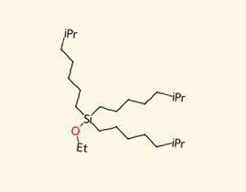 CCO[Si](CCCCCC(C)C)(CCCCCC(C)C)CCCCCC(C)C